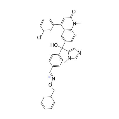 Cn1cncc1C(O)(c1ccc(/C=N/OCc2ccccc2)cc1)c1ccc2c(c1)c(-c1cccc(Cl)c1)cc(=O)n2C